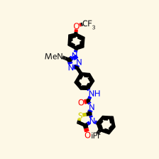 CNc1nc(-c2ccc(NC(=O)N=C3SCC(=O)N3c3ccccc3C(C)C)cc2)nn1-c1ccc(OC(F)(F)F)cc1